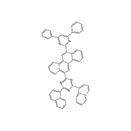 c1ccc(-c2cc(-c3ccccc3)nc(-c3cc4c5ccccc5c(-c5nc(-c6cccc7ccccc67)nc(-c6cccc7ccccc67)n5)cc4c4ccccc34)n2)cc1